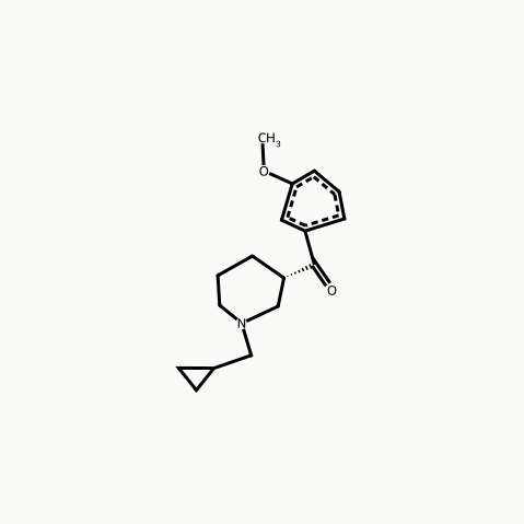 COc1cccc(C(=O)[C@H]2CCCN(CC3CC3)C2)c1